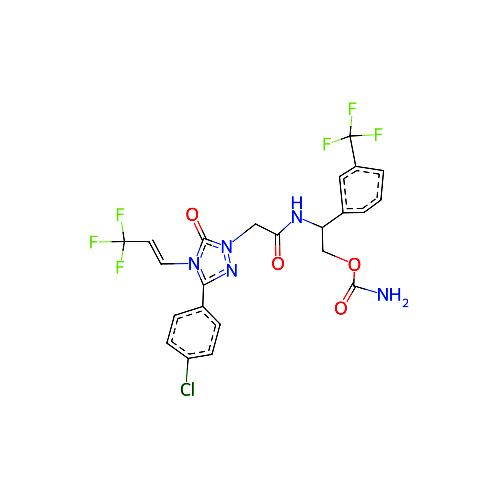 NC(=O)OCC(NC(=O)Cn1nc(-c2ccc(Cl)cc2)n(C=CC(F)(F)F)c1=O)c1cccc(C(F)(F)F)c1